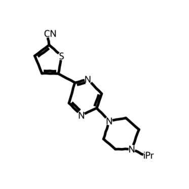 CC(C)N1CCN(c2cnc(-c3ccc(C#N)s3)cn2)CC1